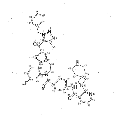 Cc1nnn(Cc2ccccc2)c1C(=O)c1cc2c(s1)-c1ccc(F)cc1N(C(=O)c1ccc(NC(=O)c3cccnc3N3CC4(CCOCC4)C3)cc1)CC2